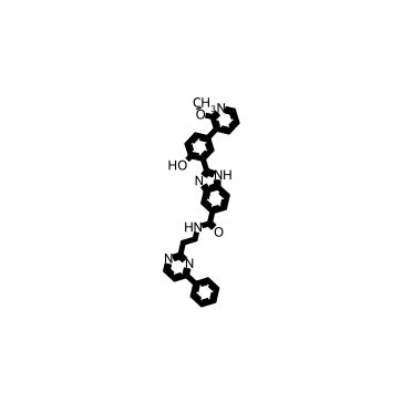 COc1ncccc1-c1ccc(O)c(-c2nc3cc(C(=O)NCCc4nccc(-c5ccccc5)n4)ccc3[nH]2)c1